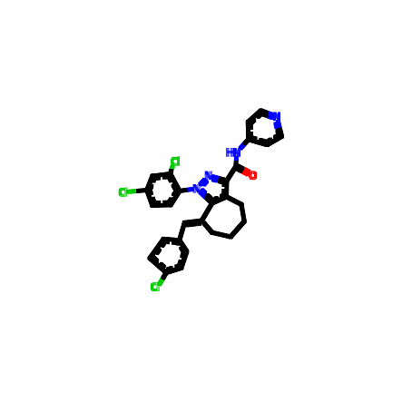 O=C(Nc1ccncc1)c1nn(-c2ccc(Cl)cc2Cl)c2c1CCCCC2=Cc1ccc(Cl)cc1